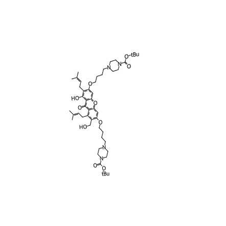 CC(C)=CCc1c(OCCCCN2CCN(C(=O)OC(C)(C)C)CC2)cc2oc3cc(OCCCCN4CCN(C(=O)OC(C)(C)C)CC4)c(CO)c(CC=C(C)C)c3c(=O)c2c1O